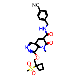 Cn1c(=O)c(C(=O)NCc2ccc(C#N)cc2)cc2cnnc(OCC3(S(C)(=O)=O)CCC3)c21